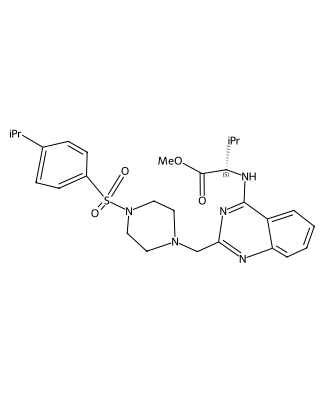 COC(=O)[C@@H](Nc1nc(CN2CCN(S(=O)(=O)c3ccc(C(C)C)cc3)CC2)nc2ccccc12)C(C)C